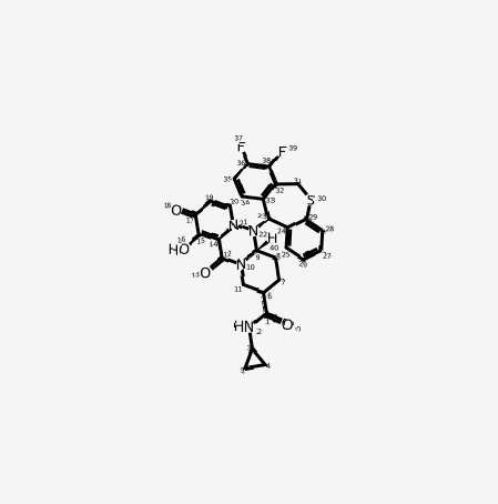 O=C(NC1CC1)C1CC[C@@H]2N(C1)C(=O)c1c(O)c(=O)ccn1N2[C@@H]1c2ccccc2SCc2c1ccc(F)c2F